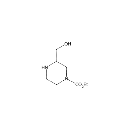 CCOC(=O)N1CCNC(CO)C1